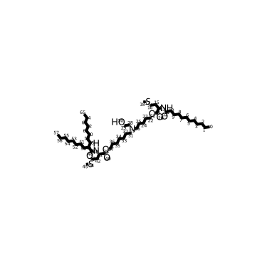 CCCCCCCCCCCC(=O)NC(CCSC)C(=O)OCCCCCN(CCO)CCCCCCCOC(=O)C(CCSC)NC(=O)C(CCCCCCCC)CCCCCCCC